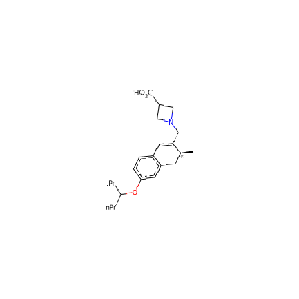 CCCC(Oc1ccc2c(c1)C[C@H](C)C(CN1CC(C(=O)O)C1)=C2)C(C)C